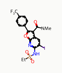 CCS(=O)(=O)Nc1nc2oc(-c3ccc(C(F)(F)F)cc3)c(C(=O)NC)c2cc1I